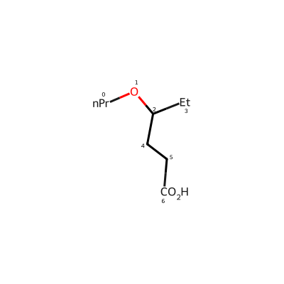 CCCOC(CC)CCC(=O)O